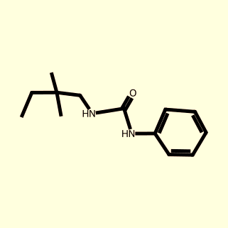 CCC(C)(C)CNC(=O)Nc1ccccc1